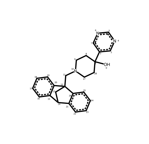 OC1(c2cncnc2)CCN(CC23CC(c4ccccc42)c2ccccc23)CC1